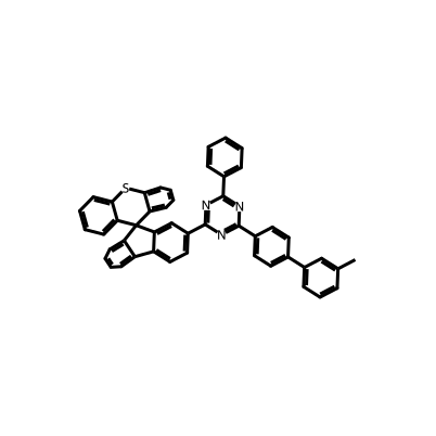 Cc1cccc(-c2ccc(-c3nc(-c4ccccc4)nc(-c4ccc5c(c4)C4(c6ccccc6Sc6ccccc64)c4ccccc4-5)n3)cc2)c1